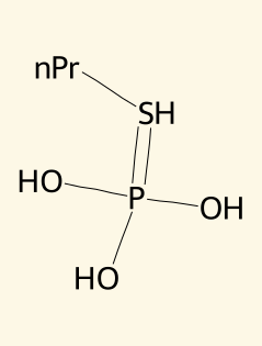 CCC[SH]=P(O)(O)O